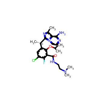 Cc1nc([C@@H](C)c2cc(Cl)c(F)c(C(=O)NCCN(C)C)c2OC(C)C)n2ccnc(N)c12